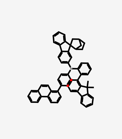 CC1(C)c2ccccc2-c2cccc(-c3ccccc3N(c3ccc(-c4cccc5c4ccc4ccccc45)cc3)c3ccc4c(c3)C3(CC5CCC3C5)c3ccccc3-4)c21